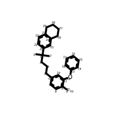 CC(C)(CCCc1ccc(F)c(Oc2ccccc2)c1)c1ccc2c(c1)CCCC2